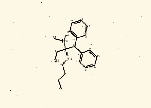 CCCCSC(CS)(C(c1ccccc1)c1ccccc1)N(C)C